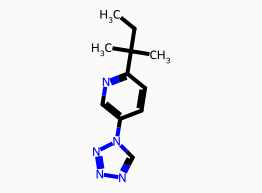 CCC(C)(C)c1ccc(-n2cnnn2)cn1